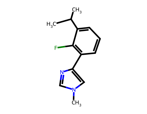 CC(C)c1cccc(-c2cn(C)cn2)c1F